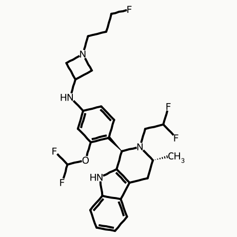 C[C@@H]1Cc2c([nH]c3ccccc23)[C@@H](c2ccc(NC3CN(CCCF)C3)cc2OC(F)F)N1CC(F)F